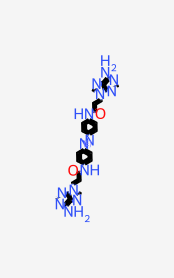 Nc1ncnc2c1ncn2CCC(=O)Nc1ccc(/N=N/c2ccc(NC(=O)CCn3cnc4c(N)ncnc43)cc2)cc1